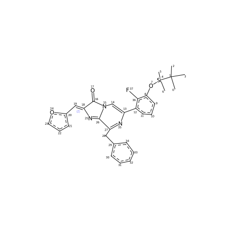 CC(C)(C)[Si](C)(C)Oc1cccc(C2=CN3C(=O)/C(=C/c4ccco4)N=C3C(Cc3ccccc3)=N2)c1F